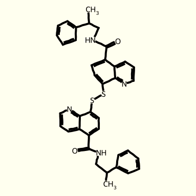 CC(CNC(=O)c1ccc(SSc2ccc(C(=O)NCC(C)c3ccccc3)c3cccnc23)c2ncccc12)c1ccccc1